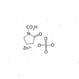 O=C(O)N1CCCC1=O.O=S(=O)([O-])[O-].[Zn+2]